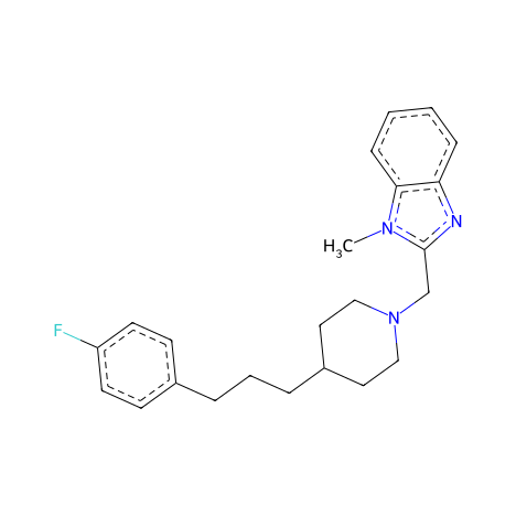 Cn1c(CN2CCC(CCCc3ccc(F)cc3)CC2)nc2ccccc21